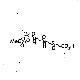 COC(=O)C1(C)OCC(C)(C)[C@H](C(=O)NCCC(=O)NCCSC(=O)/C=C/C(=O)O)O1